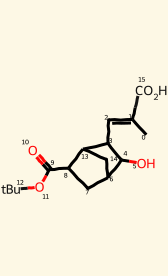 CC(=CC1C(O)C2CC(C(=O)OC(C)(C)C)C1C2)C(=O)O